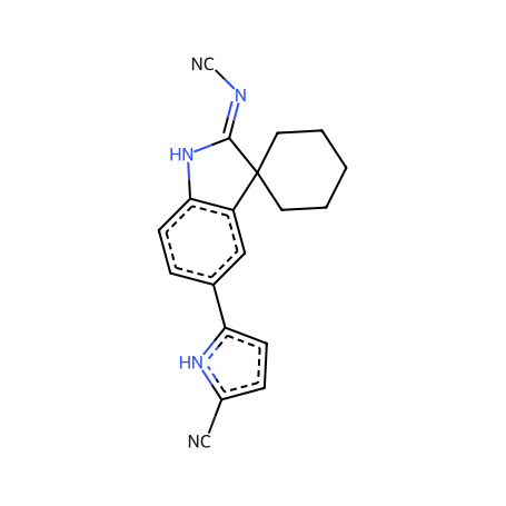 N#CN=C1Nc2ccc(-c3ccc(C#N)[nH]3)cc2C12CCCCC2